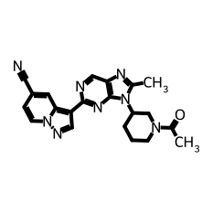 CC(=O)N1CCCC(n2c(C)nc3cnc(-c4cnn5ccc(C#N)cc45)nc32)C1